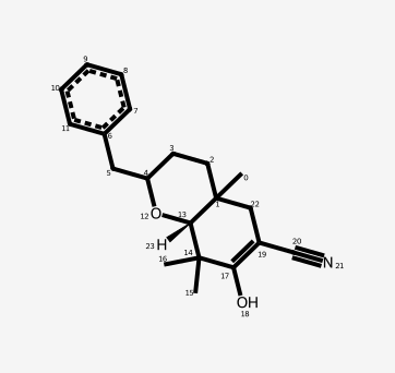 CC12CCC(Cc3ccccc3)O[C@H]1C(C)(C)C(O)=C(C#N)C2